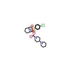 O=C(O[C@H]1CCC2CCCC1N2S(=O)(=O)c1ccc(Cl)cc1)N1CCC(N2CCCCC2)CC1